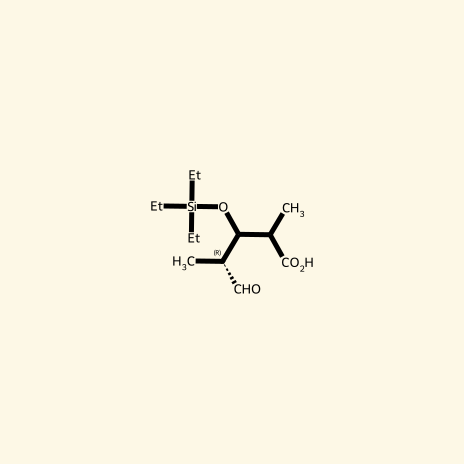 CC[Si](CC)(CC)OC(C(C)C(=O)O)[C@@H](C)C=O